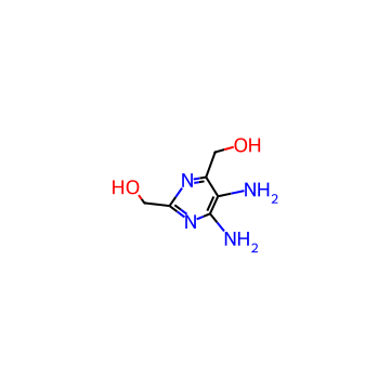 Nc1nc(CO)nc(CO)c1N